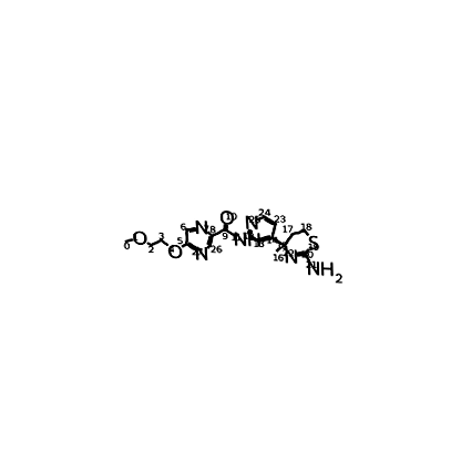 COCCOc1cnc(C(=O)Nc2cc([C@]3(C)CCSC(N)=N3)ccn2)cn1